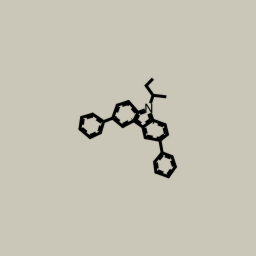 CCC(C)n1c2ccc(-c3ccccc3)cc2c2cc(-c3ccccc3)ccc21